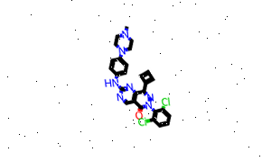 CN1CCN(c2ccc(Nc3ncc4c(=O)n(-c5c(Cl)cccc5Cl)nc(C5=CC=C5)c4n3)cc2)CC1